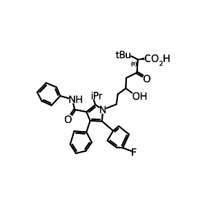 CC(C)c1c(C(=O)Nc2ccccc2)c(-c2ccccc2)c(-c2ccc(F)cc2)n1CCC(O)CC(=O)[C@H](C(=O)O)C(C)(C)C